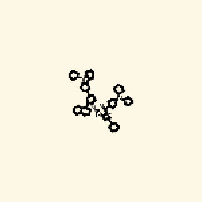 c1ccc(-c2cc3nc(-n4c5ccc(-c6ccc7c(c6)c6ccccc6n7-c6ccccc6)cc5c5c6ccccc6ccc54)nc(-c4ccc(N(c5ccccc5)c5ccccc5)cc4)c3s2)cc1